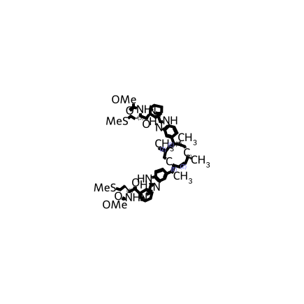 C/C=C1\C=C(\c2ccc3[nH]c([C@@H]4C5CCC(CC5)N4C(=O)[C@H](CCSC)NC(=O)OC)nc3c2)[C@H](C)CC[C@@H](C)/C=C\C(=C(/C)c2ccc3[nH]c([C@@H]4C5CCC(CC5)N4C(=O)[C@H](CCSC)NC(=O)OC)nc3c2)CC1